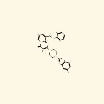 Cc1cc([C@@H](C)Nc2ccccc2C(=O)O)c2nc(N3CCN(c4nc5cc(C(F)(F)F)ccc5s4)CC3)c(C)c(=O)n2c1